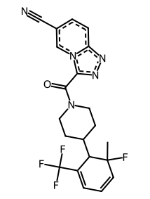 CC1(F)C=CC=C(C(F)(F)F)C1C1CCN(C(=O)c2nnc3ccc(C#N)cn23)CC1